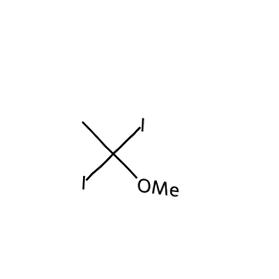 COC(C)(I)I